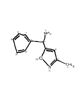 Cc1cc(C(N)c2ccccc2)on1